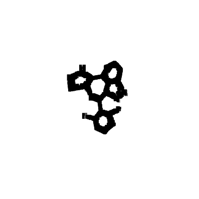 Fc1cccc(F)c1C1=Nc2cn[nH]c2-c2cccc3nnn1c23